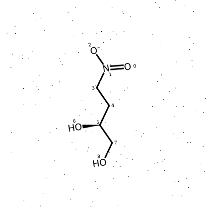 O=[N+]([O-])CC[C@H](O)CO